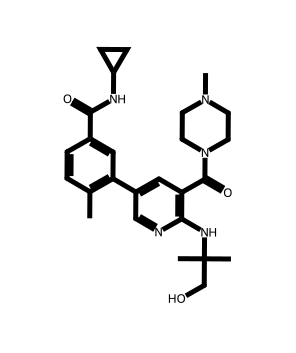 Cc1ccc(C(=O)NC2CC2)cc1-c1cnc(NC(C)(C)CO)c(C(=O)N2CCN(C)CC2)c1